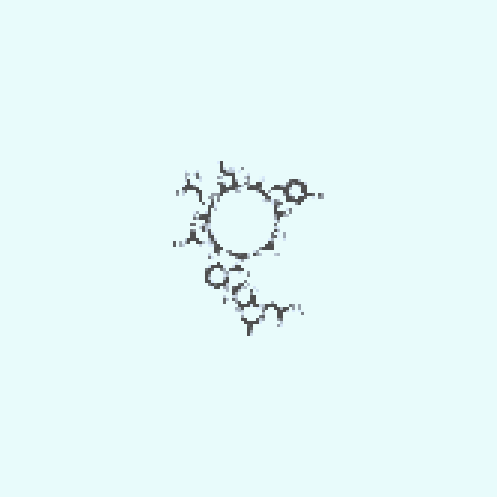 CC[C@H](C)[C@@H]1NC(=O)[C@H](Cc2ccc(O)cc2)NC(=O)CNC(=O)CC[C@@H](C(=O)N2CCCC[C@H]2C(=O)N[C@@H](CC(C)C)C(=O)NCC(N)=O)NC(=O)[C@H](CC(N)=O)NC(=O)[C@H](CCC(N)=O)NC1=O